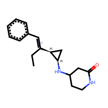 CC/C(=C\c1ccccc1)[C@H]1C[C@H]1NC1CCNC(=O)C1